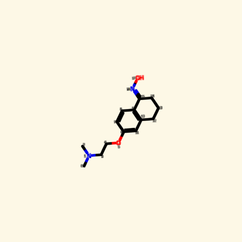 CN(C)CCOc1ccc2c(c1)CCCC2=NO